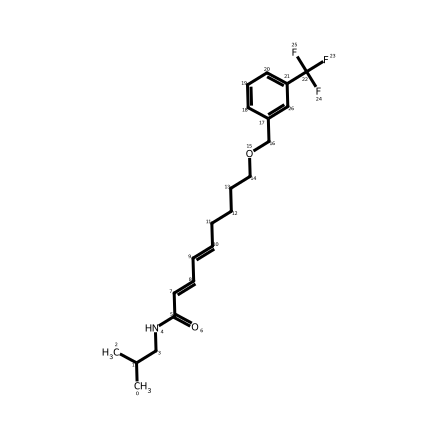 CC(C)CNC(=O)C=CC=CCCCCOCc1cccc(C(F)(F)F)c1